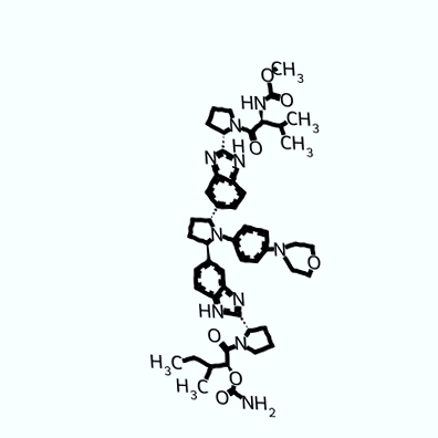 CCC(C)[C@H](OC(N)=O)C(=O)N1CCC[C@H]1c1nc2cc([C@H]3CC[C@H](c4ccc5[nH]c([C@@H]6CCCN6C(=O)[C@@H](NC(=O)OC)C(C)C)nc5c4)N3c3ccc(N4CCOCC4)cc3)ccc2[nH]1